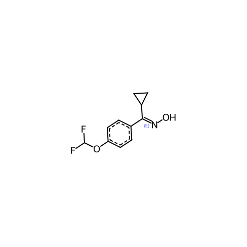 O/N=C(/c1ccc(OC(F)F)cc1)C1CC1